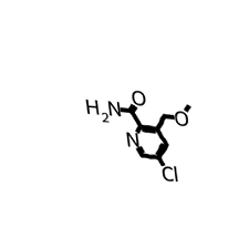 COCc1cc(Cl)cnc1C(N)=O